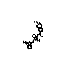 O=C(CCC(=O)c1ccc2c(c1)CCNCC2)NCCc1c[nH]c2ccccc12